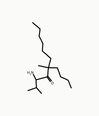 CCCCCCC(C)(CCCC)C(=O)C(N)C(C)C